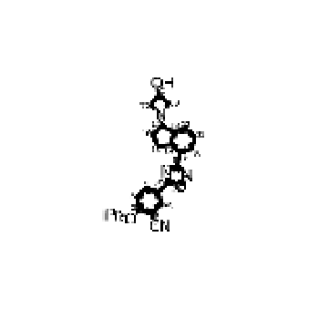 CC(C)Oc1ccc(-c2nc(-c3cccc4c3CC[C@@H]4N3CC(O)C3)no2)cc1C#N